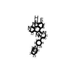 Fc1ccc(-c2c(-c3ccncc3)nn3c(C4CCC(N5CC6CCC(C5)O6)CC4)ccnc23)c2cn[nH]c12